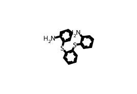 Nc1ccccc1Sc1ccccc1Sc1ccccc1N